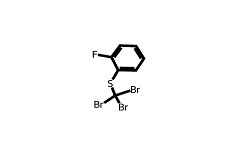 Fc1ccccc1SC(Br)(Br)Br